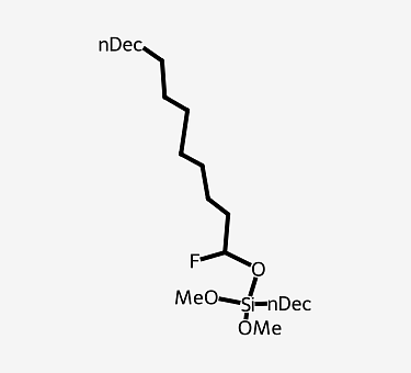 CCCCCCCCCCCCCCCCCC(F)O[Si](CCCCCCCCCC)(OC)OC